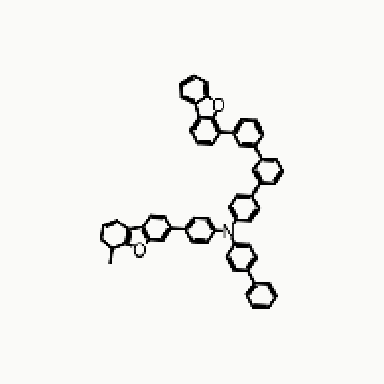 CC1CC=Cc2c1oc1cc(-c3ccc(N(c4ccc(-c5ccccc5)cc4)c4ccc(-c5cccc(-c6cccc(-c7cccc8c7oc7ccccc78)c6)c5)cc4)cc3)ccc21